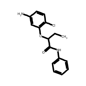 CCC(Oc1cc(N)ccc1Cl)C(=O)Nc1ccccc1